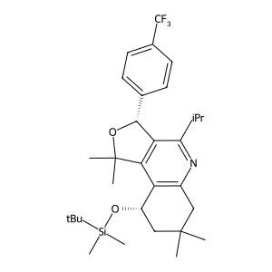 CC(C)c1nc2c(c3c1[C@@H](c1ccc(C(F)(F)F)cc1)OC3(C)C)[C@@H](O[Si](C)(C)C(C)(C)C)CC(C)(C)C2